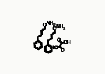 NOC/C=C/Cc1ccccc1.NOCC=CCc1ccccc1.O=C(O)C(=O)O